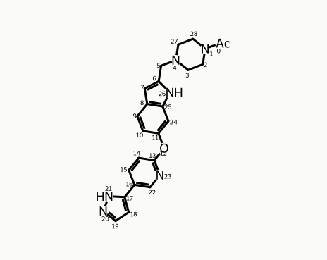 CC(=O)N1CCN(Cc2cc3ccc(Oc4ccc(-c5ccn[nH]5)cn4)cc3[nH]2)CC1